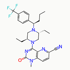 CCC[C@H](c1ccc(C(F)(F)F)cc1)N1C[C@H](CC)N(c2nc(=O)n(C)c3ccc(C#N)nc23)C[C@H]1CC